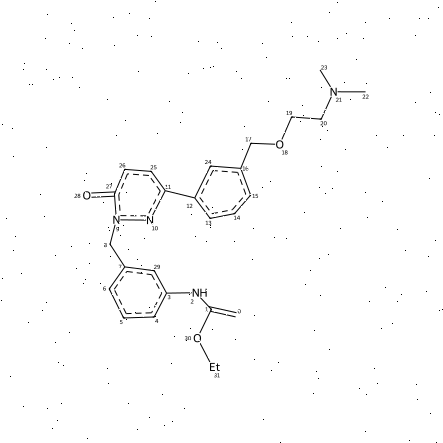 C=C(Nc1cccc(Cn2nc(-c3cccc(COCCN(C)C)c3)ccc2=O)c1)OCC